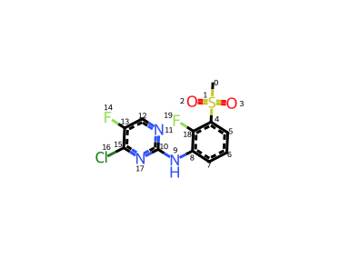 CS(=O)(=O)c1cccc(Nc2ncc(F)c(Cl)n2)c1F